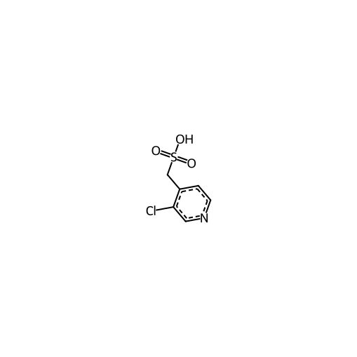 O=S(=O)(O)Cc1ccncc1Cl